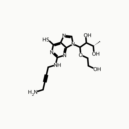 C[C@H](O)C(O)C(OCCO)n1cnc2c(S)nc(NCC#CCN)nc21